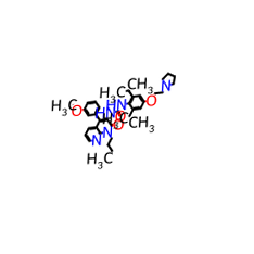 CCCCn1c(=O)c(NC(=O)Nc2c(C(C)C)cc(OCCN3CCCC3)cc2C(C)C)c(-c2cccc(OC)c2)c2cccnc21